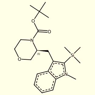 Cn1c([Si](C)(C)C)c(C[C@H]2COCCN2C(=O)OC(C)(C)C)c2ccccc21